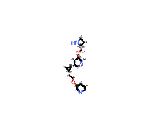 c1cncc(OCC[C@H]2C[C@@H]2c2cncc(OC[C@@H]3CCN3)c2)c1